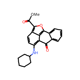 COC(=O)c1oc2c3c(c(NC4CCCCC4)ccc13)C(=O)c1ccccc1-2